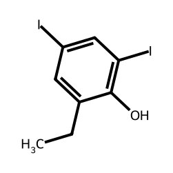 CCc1cc(I)cc(I)c1O